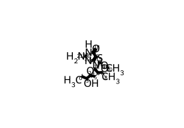 CC[C@H](O)C1C[C@@H]([C@@H](C)OC)[C@H](n2c(=O)sc3c(=O)[nH]c(N)nc32)O1